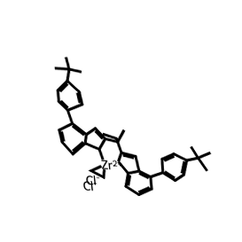 CCC1=Cc2c(-c3ccc(C(C)(C)C)cc3)cccc2[CH]1[Zr+2]1([CH]2C(CC)=Cc3c(-c4ccc(C(C)(C)C)cc4)cccc32)[CH2][CH2]1.[Cl-].[Cl-]